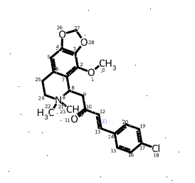 COc1c2c(cc3c1C(CC(=O)/C=C/c1ccc(Cl)cc1)[N+](C)(C)CC3)OCO2